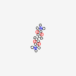 c1ccc(N(c2ccccc2)c2c3ccccc3c3oc4ccc5c(-c6c7ccccc7c7oc8ccc9c(N(c%10ccccc%10)c%10ccccc%10)c%10ccccc%10c%10oc%11ccc6c7c%11-c8c9%10)c6ccccc6c6oc7ccc2c3c7-c4c56)cc1